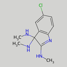 CNC1=Nc2ccc(Cl)cc2C1(NC)NC